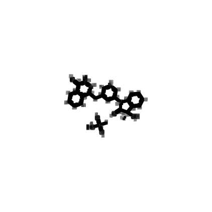 CS(=O)(=O)O.C[C@]1(O)C(=O)N(c2cncc(Cc3n[nH]c(=O)c4ccccc34)c2)c2ccccc21